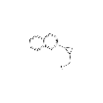 NCC1CC1c1ccc2ccccc2c1